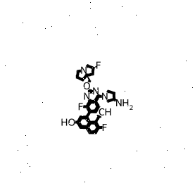 C#Cc1c(F)ccc2cc(O)cc(-c3ccc4c(N5CCC(N)C5)nc(OC[C@@]56CCCN5C[C@H](F)C6)nc4c3F)c12